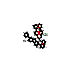 CC(C)(C)c1cc2c(cc1-c1ccccc1)Cc1c-2cc(C(C)(C)C)c(-c2ccccc2)[c]1[Zr+2]([C]1=CC=CC1)=[C](Cc1ccc(-c2ccccc2)cc1)Cc1ccc(-c2ccccc2)cc1.[Cl-].[Cl-]